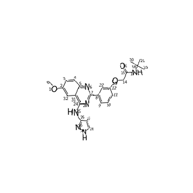 COc1ccc2nc(-c3cccc(OCC(=O)NC(C)(C)C)c3)nc(Nc3cc[nH]n3)c2c1